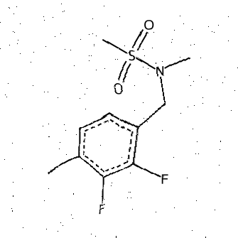 Cc1ccc(CN(C)S(C)(=O)=O)c(F)c1F